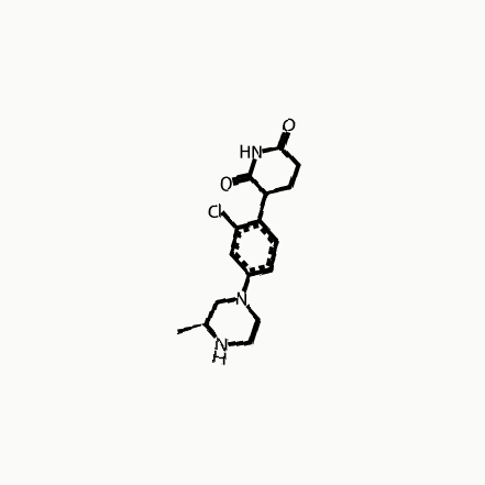 C[C@H]1CN(c2ccc(C3CCC(=O)NC3=O)c(Cl)c2)CCN1